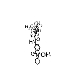 C/C=C\C(=C/CNS(=O)(=O)C(C)C)C(=O)Nc1ccc2c(c1)C(=O)N(C1CCCCC1)C2O